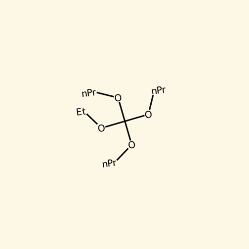 CCCOC(OCC)(OCCC)OCCC